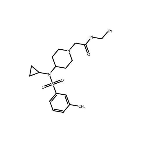 Cc1cccc(S(=O)(=O)N(C2CC2)C2CCN(CC(=O)NCC(C)C)CC2)c1